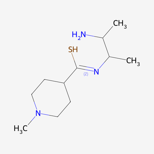 CC(N)C(C)/N=C(\S)C1CCN(C)CC1